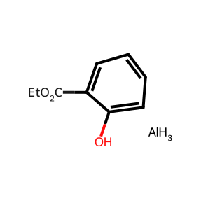 CCOC(=O)c1ccccc1O.[AlH3]